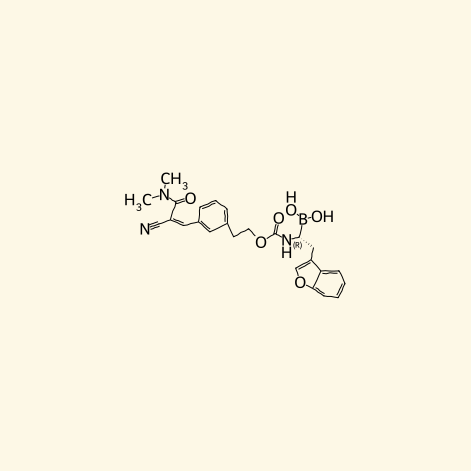 CN(C)C(=O)C(C#N)=Cc1cccc(CCOC(=O)N[C@@H](Cc2coc3ccccc23)B(O)O)c1